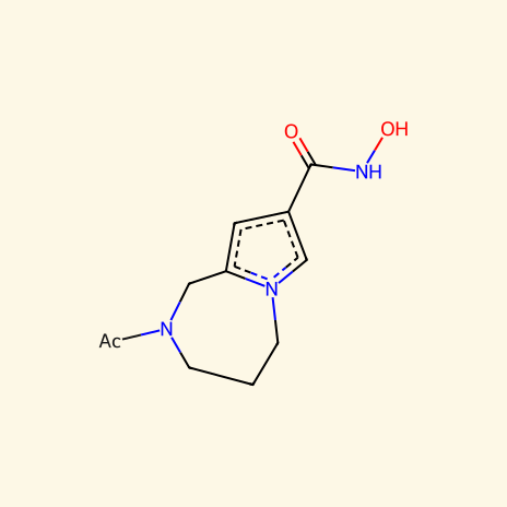 CC(=O)N1CCCn2cc(C(=O)NO)cc2C1